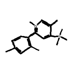 Cc1ccc(-c2cc([Si](C)(C)C)c(C)c[n+]2C)c(C)c1